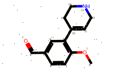 COc1ccc(C=O)cc1C1=CCNCC1